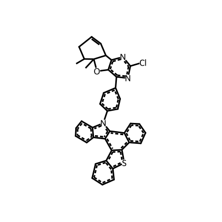 CC1CC=CC2c3nc(Cl)nc(-c4ccc(-n5c6ccccc6c6c7c8ccccc8sc7c7ccccc7c65)cc4)c3OC12C